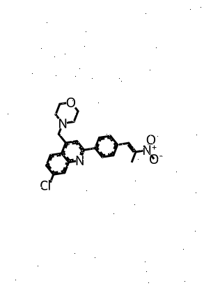 C/C(=C\c1ccc(-c2cc(CN3CCOCC3)c3ccc(Cl)cc3n2)cc1)[N+](=O)[O-]